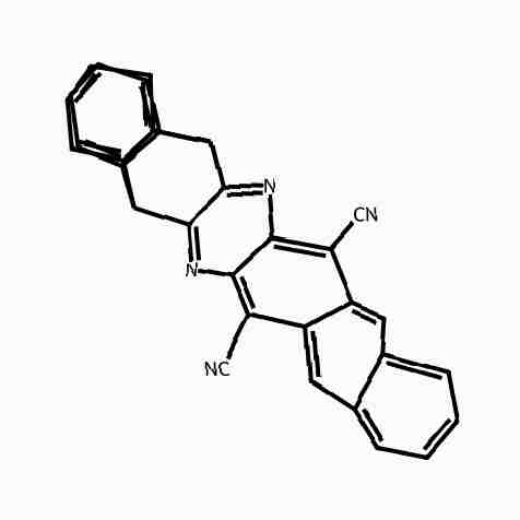 N#Cc1c2cc3ccccc3cc2c(C#N)c2nc3c(nc12)C1c2ccccc2C3c2ccccc21